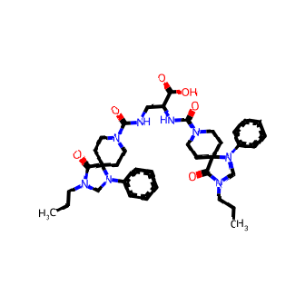 CCCN1CN(c2ccccc2)C2(CCN(C(=O)NCC(NC(=O)N3CCC4(CC3)C(=O)N(CCC)CN4c3ccccc3)C(=O)O)CC2)C1=O